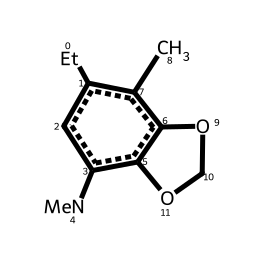 CCc1cc(NC)c2c(c1C)OCO2